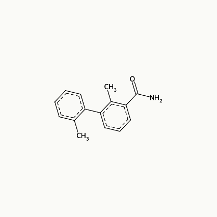 Cc1ccccc1-c1cccc(C(N)=O)c1C